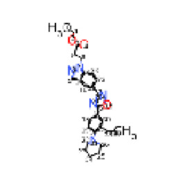 CCOC(=O)CCn1ncc2cc(-c3noc(-c4ccc(N5CCCCC5)c(CC)c4)n3)ccc21